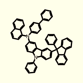 c1ccc(-c2ccc(N(c3ccc4c(c3)c3cc(C5(c6ccccc6)c6ccccc6-c6ccccc65)ccc3n4-c3ccccc3)c3cccc4ccccc34)cc2)cc1